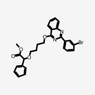 COC(=O)C(OCCCCOc1nc(-c2cccc(Br)c2)nc2ccccc12)c1ccccc1